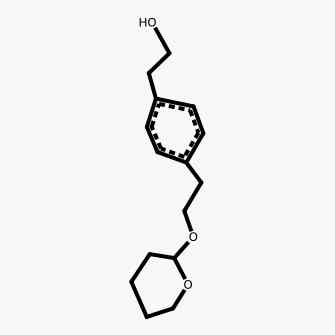 OCCc1ccc(CCOC2CCCCO2)cc1